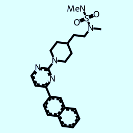 CNS(=O)(=O)N(C)CCC1CCN(c2nccc(-c3ccc4ccccc4c3)n2)CC1